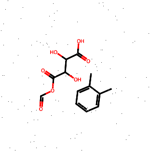 Cc1ccccc1C.O=COC(=O)C(O)C(O)C(=O)O